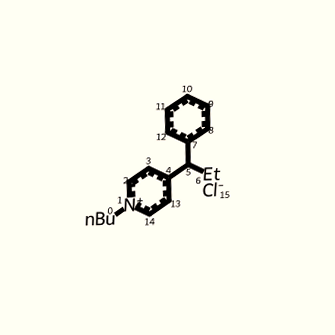 CCCC[n+]1ccc(C(CC)c2ccccc2)cc1.[Cl-]